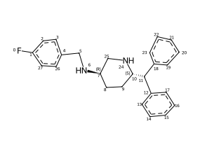 Fc1ccc(CN[C@@H]2CC[C@@H](C(c3ccccc3)c3ccccc3)NC2)cc1